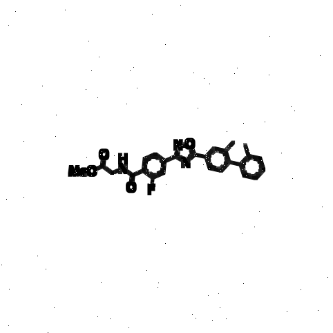 COC(=O)CNC(=O)c1ccc(-c2noc(-c3ccc(-c4ccccc4C)c(C)c3)n2)cc1F